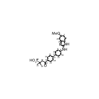 COc1ccc2[nH]c(Nc3ccc(-c4ccc(C(=O)CC(C)(C)C(=O)O)cc4)cc3)nc2c1